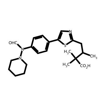 CC(Cc1ncc(-c2ccc(N(C=O)N3CCCCC3)cc2)s1)C(C)(C)C(=O)O